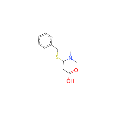 CN(C)C(CC(=O)O)SCc1ccccc1